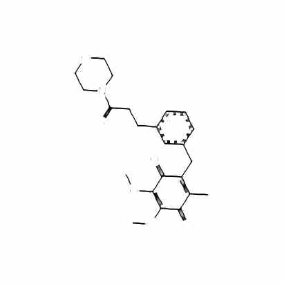 COC1=C(OC)C(=O)C(Cc2cccc(CCC(=O)N3CCOCC3)c2)=C(C)C1=O